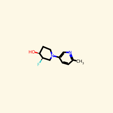 Cc1ccc(N2CC[C@H](O)[C@H](F)C2)cn1